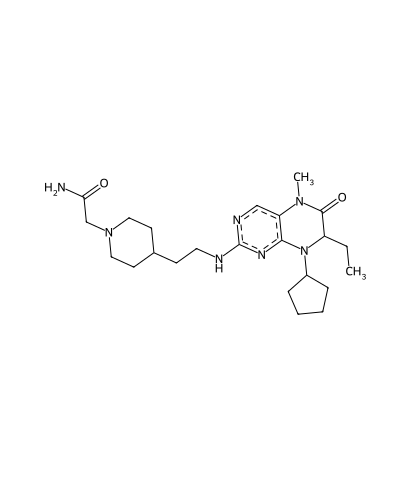 CCC1C(=O)N(C)c2cnc(NCCC3CCN(CC(N)=O)CC3)nc2N1C1CCCC1